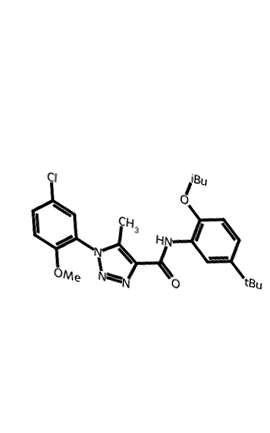 CCC(C)Oc1ccc(C(C)(C)C)cc1NC(=O)c1nnn(-c2cc(Cl)ccc2OC)c1C